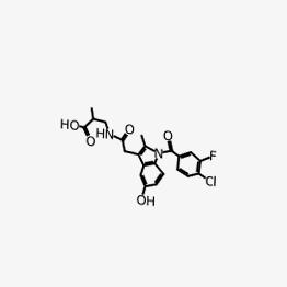 Cc1c(CC(=O)NCC(C)C(=O)O)c2cc(O)ccc2n1C(=O)c1ccc(Cl)c(F)c1